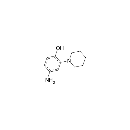 Nc1ccc(O)c(N2CCCCC2)c1